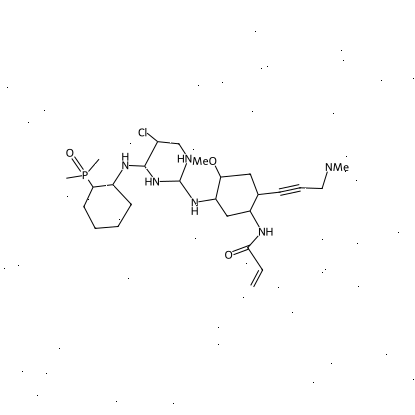 C=CC(=O)NC1CC(NC2NCC(Cl)C(NC3CCCCC3P(C)(C)=O)N2)C(OC)CC1C#CCNC